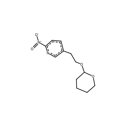 O=[N+]([O-])c1ccc(CCOC2CCCCO2)cn1